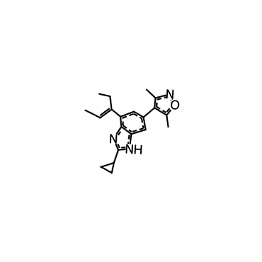 CC=C(CC)c1cc(-c2c(C)noc2C)cc2[nH]c(C3CC3)nc12